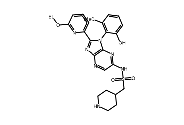 CCOC1=NC(c2nc3ncc(NS(=O)(=O)CC4CCNCC4)nc3n2-c2c(O)cccc2OC)=C=C=C1